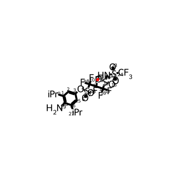 CC(C)c1cc(OS(=O)(=O)C(F)(F)C(F)(F)C(F)(F)S(=O)(=O)NS(=O)(=O)C(F)(F)F)cc(C(C)C)c1N